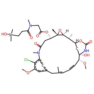 COc1cc2cc(c1Cl)N(C)C(=O)C[C@H](OC(=O)CN(C)C(=O)CC[Si](C)(C)O)[C@]1(C)O[C@H]1[C@H](C)[C@@H]1C[C@@](O)(NC(=O)O1)[C@H](OC)/C=C/C=C(\C)C2